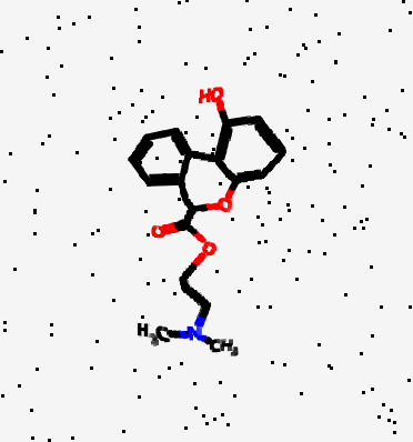 CN(C)CCOC(=O)C1Oc2cccc(O)c2-c2ccccc21